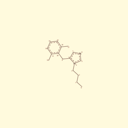 CCCCn1cncc1Cc1c(C)cccc1C